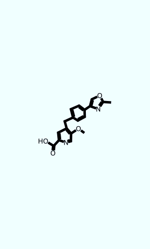 COc1cnc(C(=O)O)cc1Cc1ccc(-c2coc(C)n2)cc1